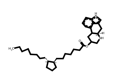 CCCCCCCC[C@H]1CCC[C@@H]1CCCCCCC(=O)OC1CN[C@@H]2Cc3c[nH]c4cccc(c34)C2C1